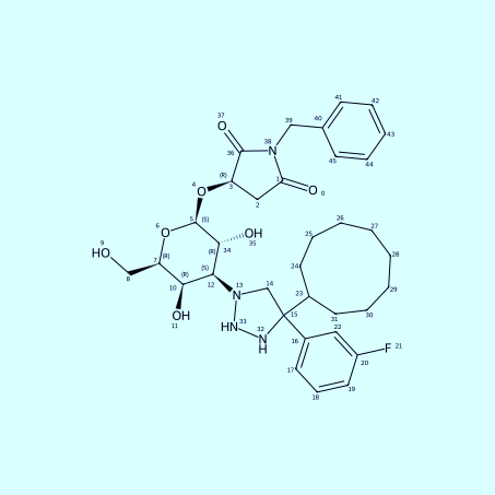 O=C1C[C@@H](O[C@@H]2O[C@H](CO)[C@H](O)[C@H](N3CC(c4cccc(F)c4)(C4CCCCCCCC4)NN3)[C@H]2O)C(=O)N1Cc1ccccc1